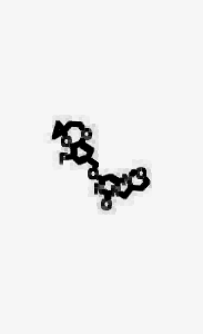 O=c1nc(OCc2cc(F)c3c(c2)OCCC2(CC2)O3)cc2n1CC1CCOCN21